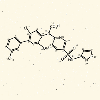 COc1cc(-c2cccc(C(F)(F)F)c2)c(Cl)cc1N(C(=O)O)c1ccc(S(=O)(=O)Nc2ccon2)cn1